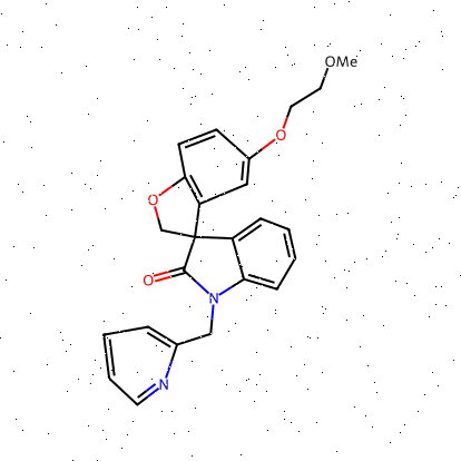 COCCOc1ccc2c(c1)C1(CO2)C(=O)N(Cc2ccccn2)c2ccccc21